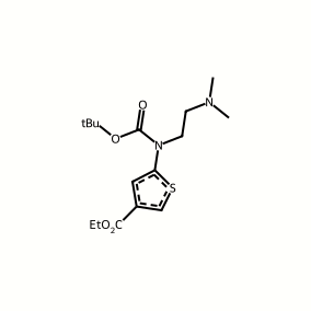 CCOC(=O)c1csc(N(CCN(C)C)C(=O)OC(C)(C)C)c1